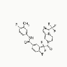 Cc1cc(NC(=O)c2ccc(F)c(C(F)(F)C(=O)N3CCn4c(cnc4C(F)(F)F)C3)c2)ccc1F